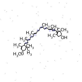 COC1C=C(C)C(/C=C/C(C)=C/C=C/C(C)=C/C=C/C=C(C)\C=C\C=C(C)\C=C\C2=C(C)CC(O)CC2(C)C)C(C)(C)C1